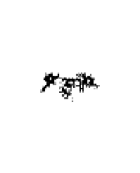 C=CCc1cccc(COC[C@@]23C[C@@H](C(=O)Nc4nc(Br)ccc4C)N[C@@]2(OC(=O)C(F)(F)F)C3)c1